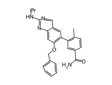 Cc1ccc(C(N)=O)cc1-c1cc2cnc(NC(C)C)nc2cc1OCc1ccccc1